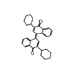 O=C1C(C2CCCCC2)=C/C(=C2/C=C(C3CCCCC3)C(=O)c3ccccc32)c2ccccc21